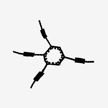 CC#Cc1[c]c(C#CC)c(C#CC)c(C#CC)c1